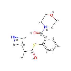 CC(C(=O)Sc1ccccc1C(=O)N1CCOCC1)C1CNC1